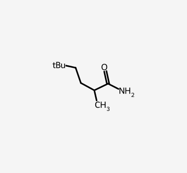 CC(CCC(C)(C)C)C(N)=O